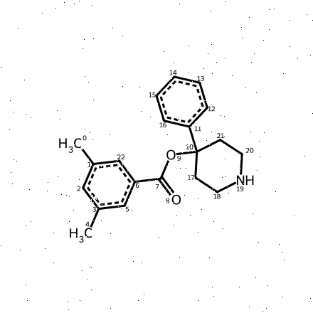 Cc1cc(C)cc(C(=O)OC2(c3ccccc3)CCNCC2)c1